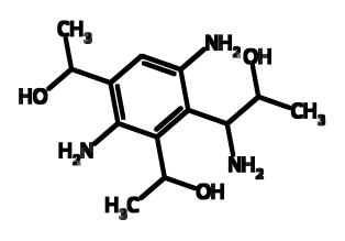 CC(O)c1cc(N)c(C(N)C(C)O)c(C(C)O)c1N